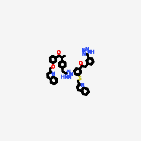 CC(C(=O)c1cccc(OCc2ccc3ccccc3n2)c1)c1ccc(Cc2nnn[nH]2)cc1.O=C(Cc1cccc(-c2nnn[nH]2)c1)c1cccc(SCc2ccc3ccccc3n2)c1